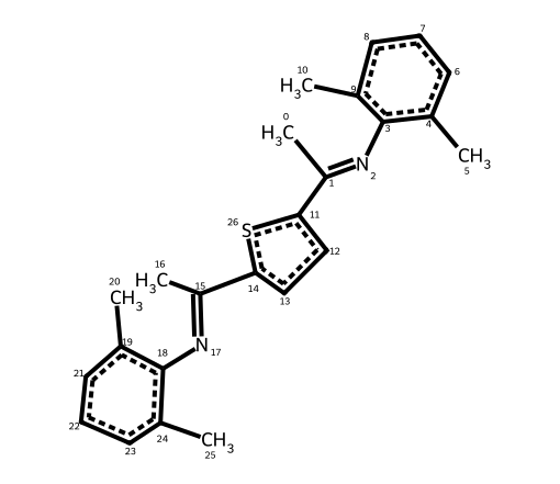 C/C(=N\c1c(C)cccc1C)c1ccc(/C(C)=N/c2c(C)cccc2C)s1